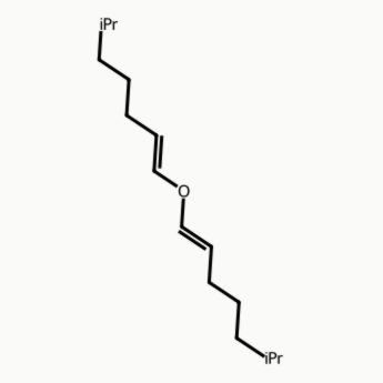 CC(C)CCCC=COC=CCCCC(C)C